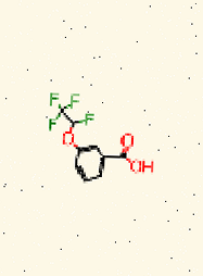 O=C(O)c1cccc(OC(F)C(F)(F)F)c1